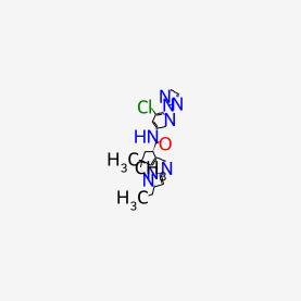 CCc1cc2ncc3c(n2n1)C(C)(C)C[C@H]3C(=O)Nc1cnc(-n2nccn2)c(Cl)c1